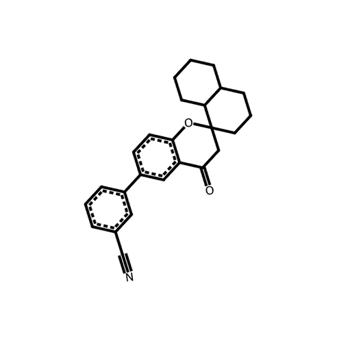 N#Cc1cccc(-c2ccc3c(c2)C(=O)CC2(CCCC4CCCCC42)O3)c1